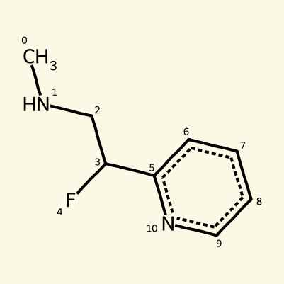 CNCC(F)c1ccccn1